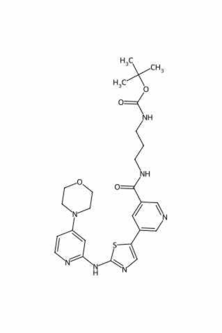 CC(C)(C)OC(=O)NCCCNC(=O)c1cncc(-c2cnc(Nc3cc(N4CCOCC4)ccn3)s2)c1